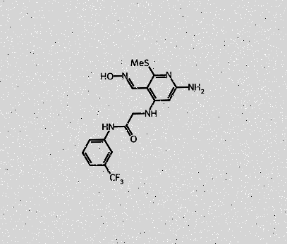 CSc1nc(N)cc(NCC(=O)Nc2cccc(C(F)(F)F)c2)c1C=NO